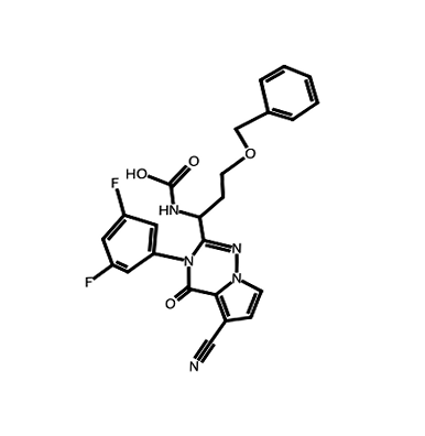 N#Cc1ccn2nc(C(CCOCc3ccccc3)NC(=O)O)n(-c3cc(F)cc(F)c3)c(=O)c12